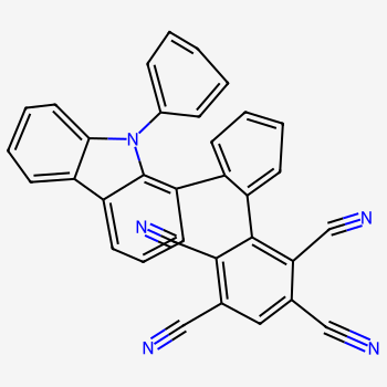 N#Cc1cc(C#N)c(C#N)c(-c2ccccc2-c2cccc3c4ccccc4n(-c4ccccc4)c23)c1C#N